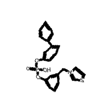 O=P(O)(Oc1cccc(C[n+]2ccsc2)c1)Oc1cccc(-c2ccccc2)c1